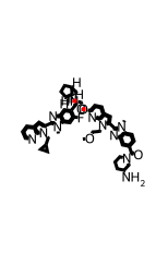 COCCn1c(-c2nc3cc(C(=O)N4CCC[C@@H](N)C4)ccc3n2C)cc2ccc(OCN[C@@H]3[C@@H]4CC[C@H]3N(C(=O)c3cc5nc(-c6cc7cccnc7n6CC6CC6)n(C)c5cc3F)C4)nc21